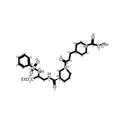 CCOC(=O)C(CNC(=O)[C@@H]1CCCN(C(=O)CCC2CCN(C(=O)OC(C)(C)C)CC2)C1)NS(=O)(=O)c1ccccc1